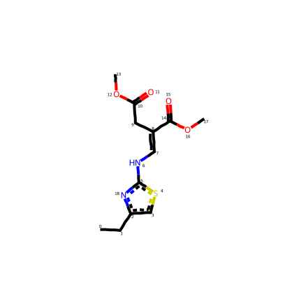 CCc1csc(N/C=C(\CC(=O)OC)C(=O)OC)n1